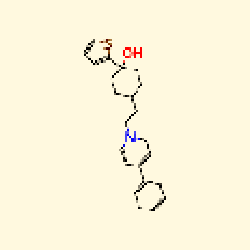 OC1(c2cccs2)CCC(CCN2C=CC(C3=CCC=CC3)=CC2)CC1